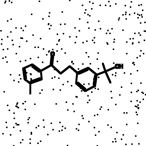 Cc1cccc(C(=O)CCc2cccc(C(C)(C)O)c2)c1